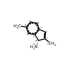 CC1=Cc2ccc(C)cc2[C@H]1N